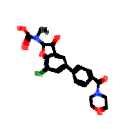 CN(C(=O)O)C1Oc2c(Cl)cc(-c3ccc(C(=O)N4CCOCC4)cc3)cc2C1=O